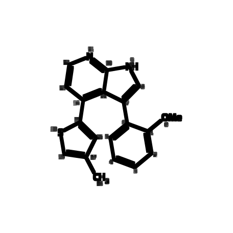 COc1ccccc1-c1c[nH]c2nccc(-c3cc(C)cs3)c12